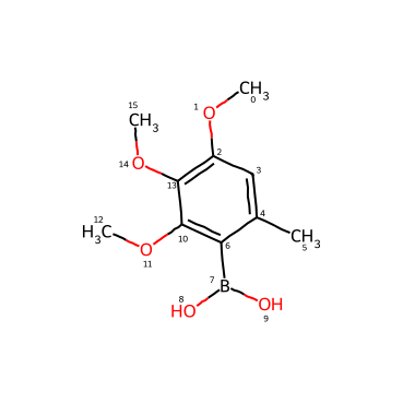 COc1cc(C)c(B(O)O)c(OC)c1OC